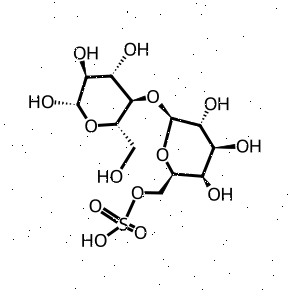 O=S(=O)(O)OC[C@H]1O[C@@H](O[C@@H]2[C@@H](O)[C@H](O)[C@@H](O)O[C@H]2CO)[C@H](O)[C@@H](O)[C@H]1O